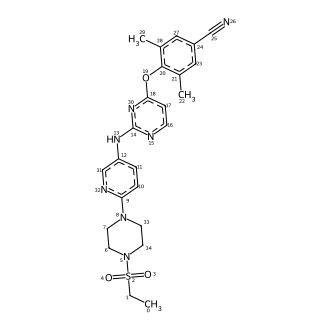 CCS(=O)(=O)N1CCN(c2ccc(Nc3nccc(Oc4c(C)cc(C#N)cc4C)n3)cn2)CC1